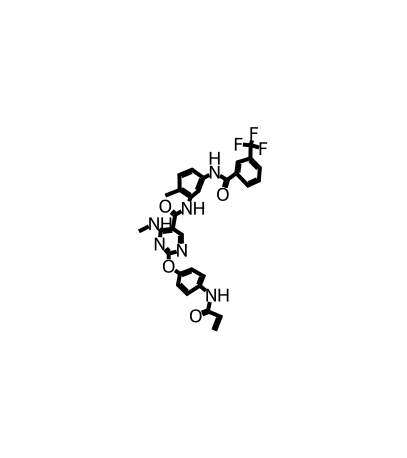 C=CC(=O)Nc1ccc(Oc2ncc(C(=O)Nc3cc(NC(=O)c4cccc(C(F)(F)F)c4)ccc3C)c(NC)n2)cc1